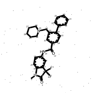 CN1C(=O)C(F)(F)c2cc(NC(=O)c3ccc(-c4ccccc4)c(CN4CCCCC4)c3)ccc21